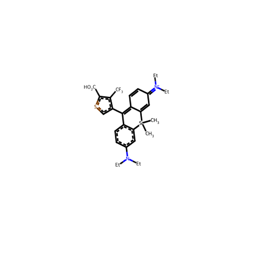 CCN(CC)c1ccc2c(c1)[Si](C)(C)C1=CC(=[N+](CC)CC)C=CC1=C2c1csc(C(=O)O)c1C(F)(F)F